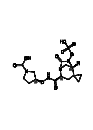 O=C(NO[C@H]1CCN(C(=O)O)C1)[C@@H]1CC2(CC2)[C@@H]2CN1C(=O)N2OS(=O)(=O)O